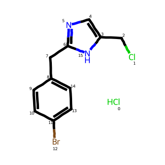 Cl.ClCc1cnc(Cc2ccc(Br)cc2)[nH]1